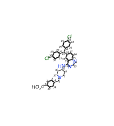 O=C(O)c1ccc(CN2CCC(Nc3ncnc4ccc(C(c5ccc(Cl)cc5)c5ccc(Cl)cc5)cc34)CC2)cc1